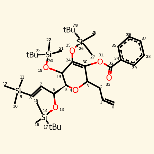 C=CCC1O[C@@H](C(/C=C/[Si](C)(C)C)O[Si](C)(C)C(C)(C)C)C(O[Si](C)(C)C(C)(C)C)C(O[Si](C)(C)C(C)(C)C)=C1OC(=O)c1ccccc1